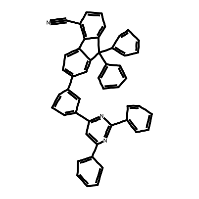 N#Cc1cccc2c1-c1ccc(-c3cccc(-c4cc(-c5ccccc5)nc(-c5ccccc5)n4)c3)cc1C2(c1ccccc1)c1ccccc1